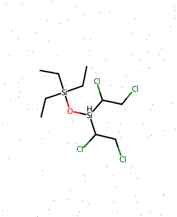 CC[Si](CC)(CC)O[SiH](C(Cl)CCl)C(Cl)CCl